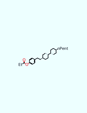 CCCCC[C@H]1CC[C@H]([C@H]2CC[C@H](CCc3ccc(OC(=O)CC)cc3)CC2)CC1